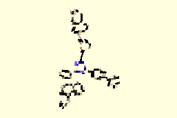 c1ccc(-c2ccc(-c3nc(-c4ccc(-c5ccc6ccccc6c5)cc4)nc(-c4cccc(-c5cc6ccccc6c6ccccc56)c4)n3)cc2)cc1